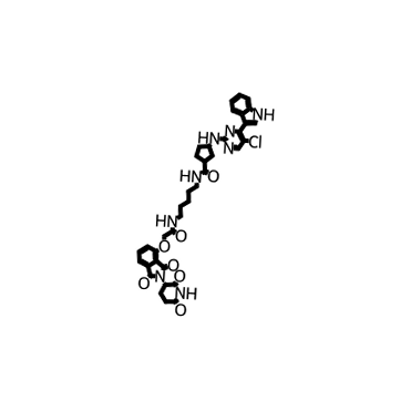 O=C(COc1cccc2c1C(=O)N(C1CCC(=O)NC1=O)C2=O)NCCCCCNC(=O)C1CCC(Nc2ncc(Cl)c(-c3c[nH]c4ccccc34)n2)C1